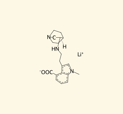 Cn1cc(CCN[C@H]2CN3CCC2CC3)c2c(C(=O)[O-])cccc21.[Li+]